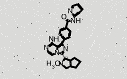 CN1CC2CCCC2[C@H]1c1nc(-c2ccc(C(=O)Nc3ccccn3)cc2)c2c(N)nccn12